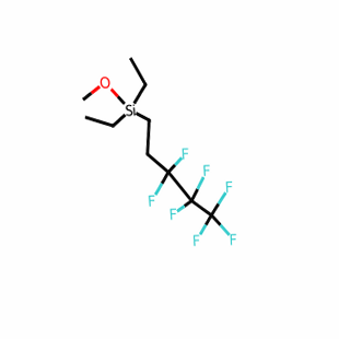 CC[Si](CC)(CCC(F)(F)C(F)(F)C(F)(F)F)OC